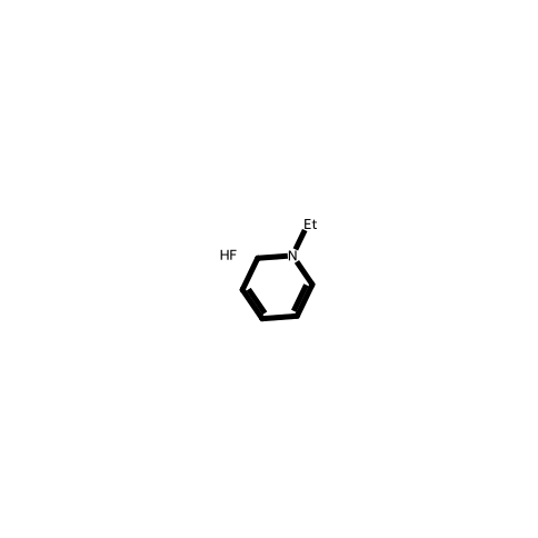 CCN1C=CC=CC1.F